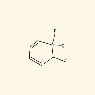 FC1C=CC=CC1(F)Cl